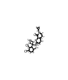 O=c1c2nc(NC3(c4c(F)ccc(Cl)c4Cl)CNC3)ccc2ccn1C1CC1